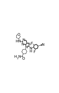 N#Cc1cc(F)c(Nc2nc3cnc(NC4CCOC4)nc3n2C2CCC(C(N)=O)CC2)c(F)c1